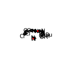 CC1(c2ccc(Cl)cc2Cl)OCC(COc2ccc(N3CCN(c4ccc(-n5cnn(CC(OP(=O)(O)O)C(C)(C)C)c5=O)cc4)CC3)cc2)O1.c1c2nnn1-2